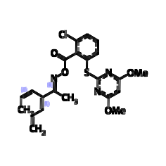 C=C/C=C(\C=C/C)C(/C)=N/OC(=O)c1c(Cl)cccc1Sc1nc(OC)cc(OC)n1